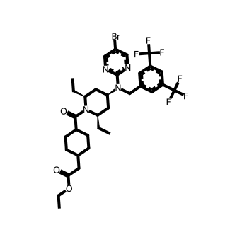 CCOC(=O)CC1CCC(C(=O)N2[C@H](CC)C[C@H](N(Cc3cc(C(F)(F)F)cc(C(F)(F)F)c3)c3ncc(Br)cn3)C[C@@H]2CC)CC1